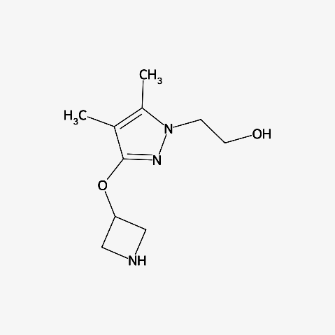 Cc1c(OC2CNC2)nn(CCO)c1C